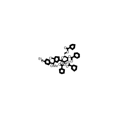 CCOc1ccc(C(OC)c2cc(C3(OC)O[C@H](COC(=O)c4ccccc4)[C@@H](OC(=O)c4ccccc4)[C@H](OC(=O)c4ccccc4)[C@H]3OC(=O)c3ccccc3)ccc2Cl)cc1